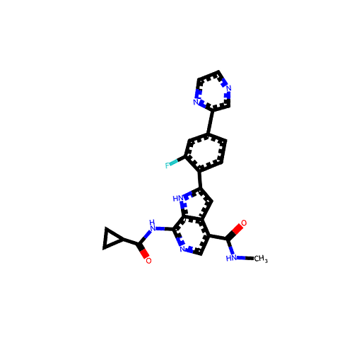 CNC(=O)c1cnc(NC(=O)C2CC2)c2[nH]c(-c3ccc(-c4cnccn4)cc3F)cc12